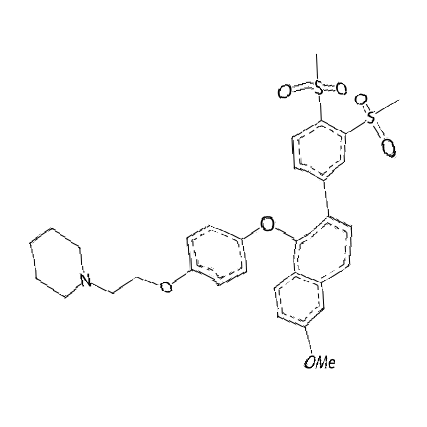 COc1ccc2c(Oc3ccc(OCCN4CCCCC4)cc3)c(-c3ccc(S(C)(=O)=O)c(S(C)(=O)=O)c3)ccc2c1